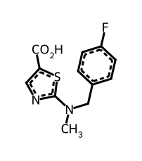 CN(Cc1ccc(F)cc1)c1ncc(C(=O)O)s1